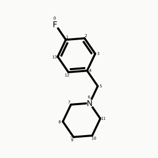 Fc1ccc(CN2CC[CH]CC2)cc1